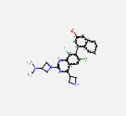 CN(C)C1CN(c2nc(C3CNC3)c3cc(Cl)c(-c4cc(O)cc5ccccc45)c(F)c3n2)C1